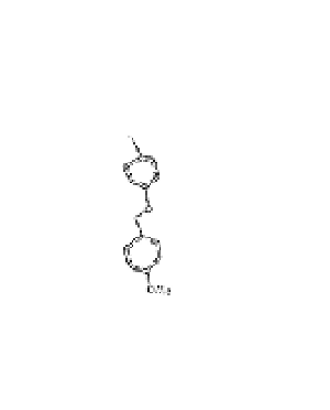 [CH2]c1ccc(OCc2ccc(OC)cc2)cc1